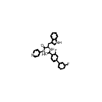 O=C(NC(Cc1c[nH]c2ccccc12)C(=O)Nc1ccncc1)c1ccc(-c2cccc(F)c2)cc1F